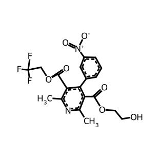 Cc1nc(C)c(C(=O)OCC(F)(F)F)c(-c2cccc([N+](=O)[O-])c2)c1C(=O)OCCO